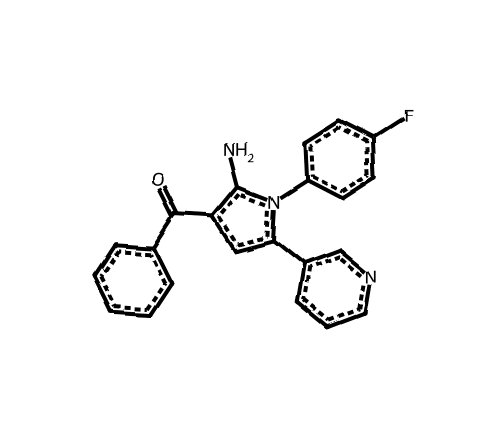 Nc1c(C(=O)c2ccccc2)cc(-c2cccnc2)n1-c1ccc(F)cc1